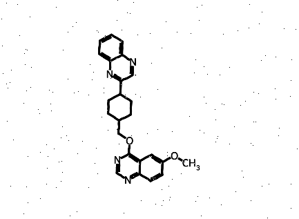 COc1ccc2ncnc(OCC3CCC(c4[c]nc5ccccc5n4)CC3)c2c1